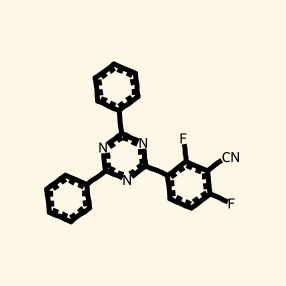 N#Cc1c(F)ccc(-c2nc(-c3ccccc3)nc(-c3ccccc3)n2)c1F